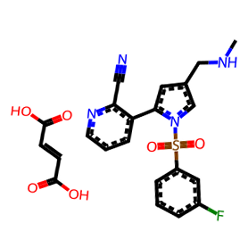 CNCc1cc(-c2cccnc2C#N)n(S(=O)(=O)c2cccc(F)c2)c1.O=C(O)C=CC(=O)O